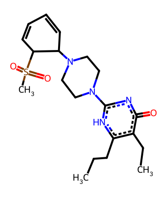 CCCc1[nH]c(N2CCN(C3C=CC=CC3S(C)(=O)=O)CC2)nc(=O)c1CC